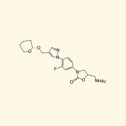 CC(=O)NCC1CN(c2ccc(-n3cc(CO[C@H]4CCCCO4)cn3)c(F)c2)C(=O)O1